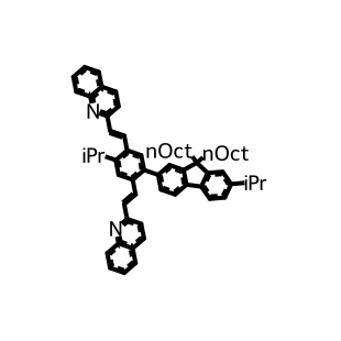 CCCCCCCCC1(CCCCCCCC)c2cc(-c3cc(/C=C/c4ccc5ccccc5n4)c(C(C)C)cc3/C=C/c3ccc4ccccc4n3)ccc2-c2ccc(C(C)C)cc21